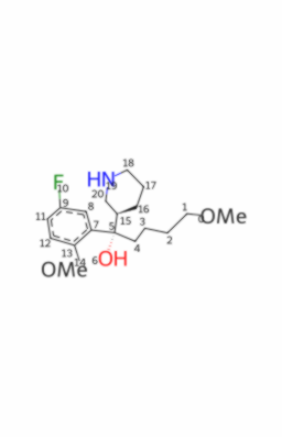 COCCCC[C@@](O)(c1cc(F)ccc1OC)[C@@H]1CCCNC1